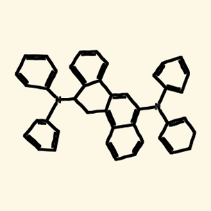 C1=CC(N(c2ccccc2)c2cc3c(c4ccccc24)CC(N(c2ccccc2)c2ccccc2)c2ccccc2-3)=CCC1